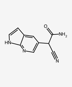 N#CC(C(N)=O)c1cnc2[nH]ccc2c1